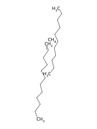 C.C=CCCCCCCCCCC.CCCCCCCCCCC